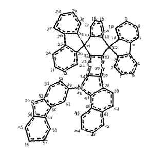 c1ccc2c(c1)-c1ccccc1C21c2ccccc2C2(c3ccccc3-c3ccccc32)c2cc3c(cc21)c1ccc2ccccc2c1n3-c1ccc2sc3ccccc3c2c1